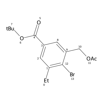 CCc1cc(C(=O)OC(C)(C)C)cc(COC(C)=O)c1Br